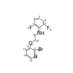 Fc1cccc(F)c1NCCOc1cccnc1Br